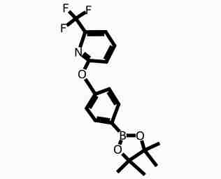 CC1(C)OB(c2ccc(Oc3cccc(C(F)(F)F)n3)cc2)OC1(C)C